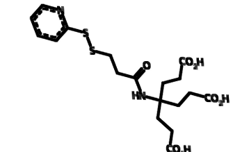 O=C(O)CCC(CCC(=O)O)(CCC(=O)O)NC(=O)CCSSc1ccccn1